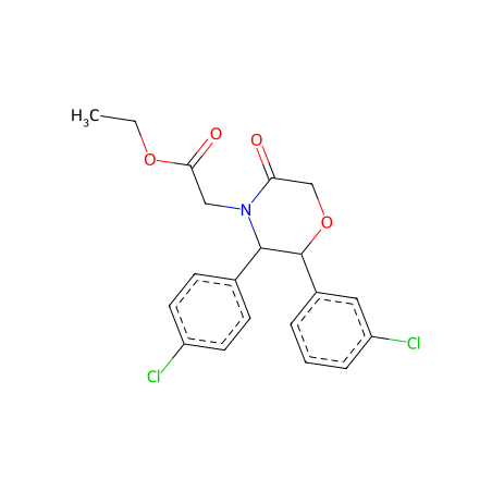 CCOC(=O)CN1C(=O)COC(c2cccc(Cl)c2)C1c1ccc(Cl)cc1